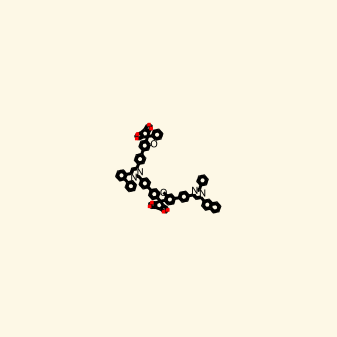 c1ccc(-c2nc(-c3ccc(-c4ccc5c(c4)Oc4cc(-c6ccc(-c7nc(-c8ccc(-c9ccc%10c(c9)Oc9ccccc9C%109c%10ccccc%10-c%10ccccc%109)cc8)cc(-c8ccccc8-c8ccccc8)n7)cc6)ccc4C54c5ccccc5-c5ccccc54)cc3)cc(-c3ccc4ccccc4c3)n2)cc1